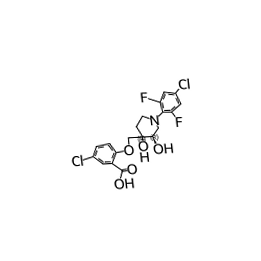 O=C(O)c1cc(Cl)ccc1OC[C@]1(O)CCN(c2c(F)cc(Cl)cc2F)C[C@H]1O